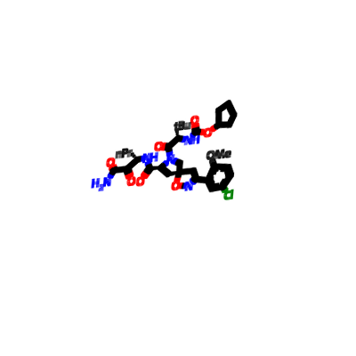 CCC[C@H](NC(=O)[C@@H]1C[C@]2(CC(c3cc(Cl)ccc3OC)=NO2)CN1C(=O)[C@@H](NC(=O)OC1CCCC1)C(C)(C)C)C(=O)C(N)=O